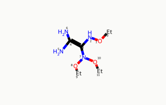 CCONC(=C(N)N)N(OCC)OCC